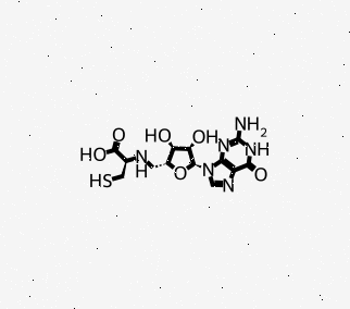 Nc1nc2c(ncn2[C@@H]2O[C@H](CN[C@@H](CS)C(=O)O)[C@@H](O)[C@H]2O)c(=O)[nH]1